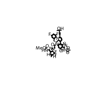 COC(=O)Nc1nn(CC(=O)N[C@@H](Cc2cc(F)cc(F)c2)c2nc(C#CC(C)(C)O)ccc2-c2ccc(Cl)c3c(NS(C)(=O)=O)nn(C)c23)c2c1[C@H]1C[C@H]1C2(F)F